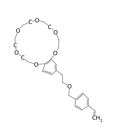 C=Cc1ccc(COCCc2ccc3c(c2)OCCOCCOCCOCCOCCO3)cc1